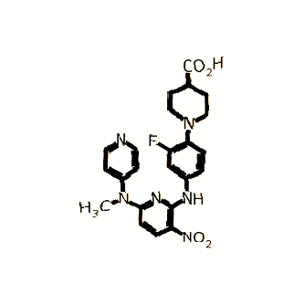 CN(c1ccncc1)c1ccc([N+](=O)[O-])c(Nc2ccc(N3CCC(C(=O)O)CC3)c(F)c2)n1